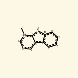 [CH2]n1cncc2c3ccccc3nc1-2